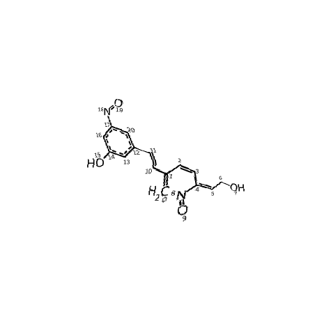 C=C(/C=C\C(=C/CO)N=O)/C=C/c1cc(O)cc(N=O)c1